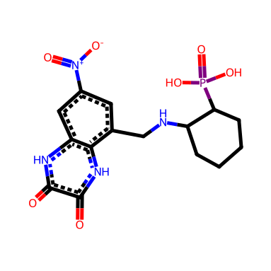 O=c1[nH]c2cc([N+](=O)[O-])cc(CNC3CCCCC3P(=O)(O)O)c2[nH]c1=O